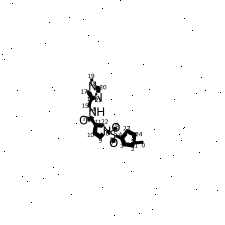 Cc1ccc(S(=O)(=O)n2ccc(C(=O)NCc3cn(C)cn3)c2)cc1